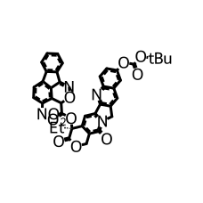 CC[C@@]1(OC(=O)C2ON=C3c4ccccc4-c4ccc([N+](=O)[O-])c2c43)C(=O)OCc2c1cc1n(c2=O)Cc2cc3cc(OC(=O)OC(C)(C)C)ccc3nc2-1